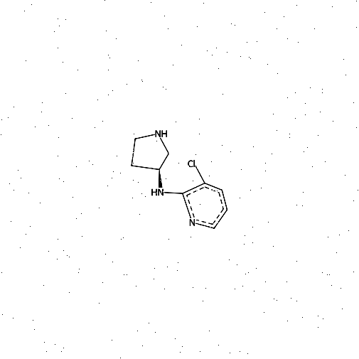 Clc1cccnc1N[C@H]1CCNC1